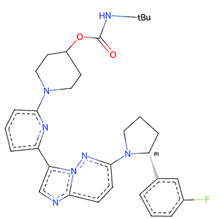 CC(C)(C)NC(=O)OC1CCN(c2cccc(-c3cnc4ccc(N5CCC[C@@H]5c5cccc(F)c5)nn34)n2)CC1